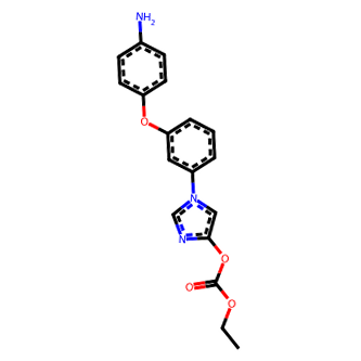 CCOC(=O)Oc1cn(-c2cccc(Oc3ccc(N)cc3)c2)cn1